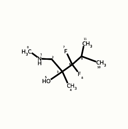 CNCC(C)(O)C(F)(F)C(C)C